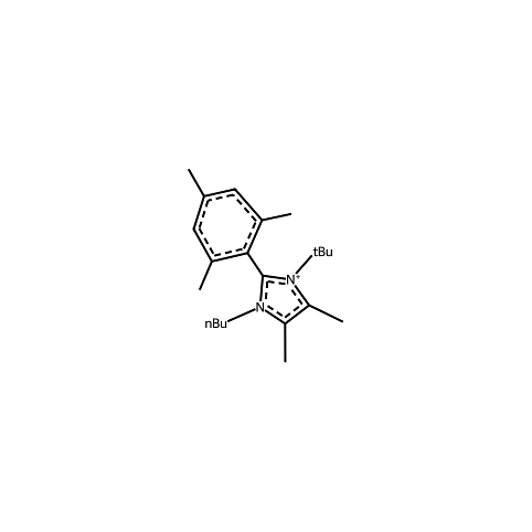 CCCCn1c(C)c(C)[n+](C(C)(C)C)c1-c1c(C)cc(C)cc1C